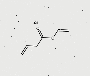 C=CCC(=O)OC=C.[Zn]